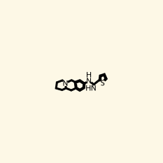 N=C(Nc1ccc2c(c1)CN1CCCCC1C2)c1cccs1